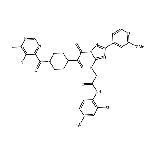 COc1cc(-c2nc3n(CC(=O)Nc4ccc(C(F)(F)F)cc4Cl)cc(C4CCN(C(=O)c5ncnc(C)c5O)CC4)c(=O)n3n2)ccn1